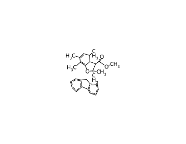 COC(=O)C1C2C(=C(C)C(C)=CC2C)OC1(C)C.c1ccc2c(c1)Cc1ccccc1-2